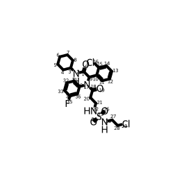 O=C(NC1CCCCC1)C(c1ccccc1Cl)N(C(=O)CCNS(=O)(=O)NCCCl)c1cccc(F)c1